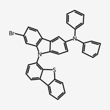 Brc1ccc2c3cc(N(c4ccccc4)c4ccccc4)ccc3n(-c3cccc4c3sc3ccccc34)c2c1